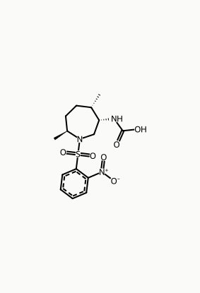 C[C@H]1CC[C@H](C)N(S(=O)(=O)c2ccccc2[N+](=O)[O-])C[C@H]1NC(=O)O